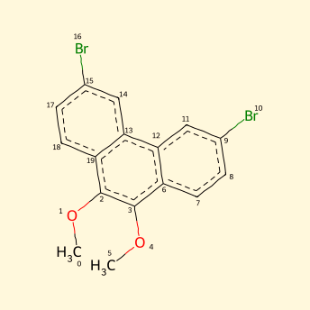 COc1c(OC)c2ccc(Br)cc2c2cc(Br)ccc12